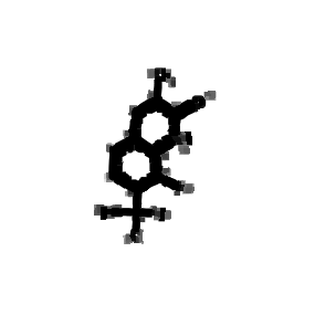 [2H]C([2H])(Cl)c1ccc2cc(C)c(=O)[nH]c2c1F